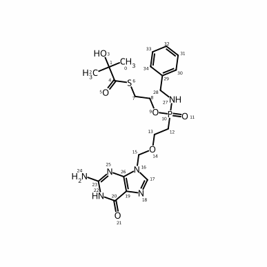 CC(C)(O)C(=O)SCCOP(=O)(CCOCn1cnc2c(=O)[nH]c(N)nc21)NCc1ccccc1